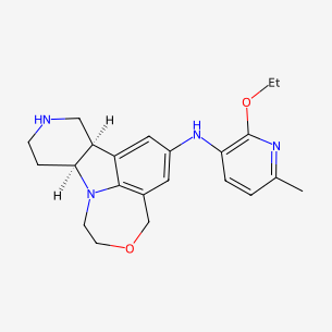 CCOc1nc(C)ccc1Nc1cc2c3c(c1)[C@@H]1CNCC[C@@H]1N3CCOC2